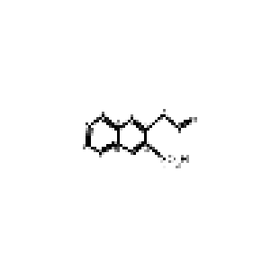 C=CCc1cc2ccccc2cc1S(=O)(=O)O